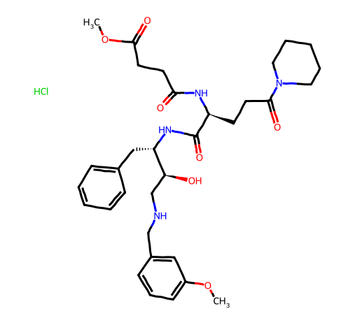 COC(=O)CCC(=O)N[C@@H](CCC(=O)N1CCCCC1)C(=O)N[C@@H](Cc1ccccc1)[C@@H](O)CNCc1cccc(OC)c1.Cl